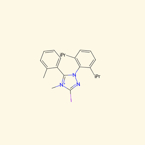 Cc1ccccc1-c1n(-c2c(C(C)C)cccc2C(C)C)nc(I)[n+]1C